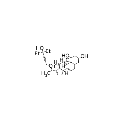 CCC(O)(C#CCOC(C)C1=CC[C@H]2C3=CC=C4C[C@@H](O)C[C@H](O)[C@]4(C)[C@H]3CC[C@]12C)CC